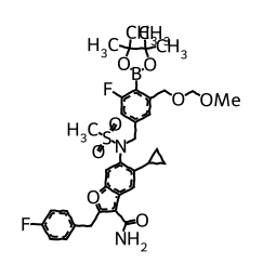 COCOCc1cc(CN(c2cc3oc(Cc4ccc(F)cc4)c(C(N)=O)c3cc2C2CC2)S(C)(=O)=O)cc(F)c1B1OC(C)(C)C(C)(C)O1